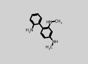 CNc1ccc(-c2ccccc2N)c(NC)c1